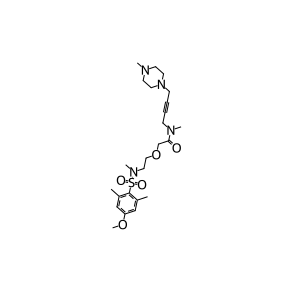 COc1cc(C)c(S(=O)(=O)N(C)CCOCC(=O)N(C)CC#CCN2CCN(C)CC2)c(C)c1